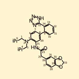 CC(C)CN(CC(C)C)c1ccc(-c2ccccc2-c2nnn[nH]2)cc1NC(=O)Cc1ccc2c(c1)OCO2